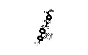 CC(C)(C)C(=O)c1ccc2nc(C(=O)Nc3ccc(-c4ccc(N)cc4S(=O)(=O)O)c(S(=O)(=O)O)c3)[nH]c2c1